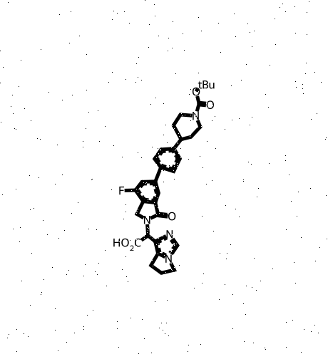 CC(C)(C)OC(=O)N1CCC(c2ccc(-c3cc(F)c4c(c3)C(=O)N(C(C(=O)O)c3ncn5c3CCC5)C4)cc2)CC1